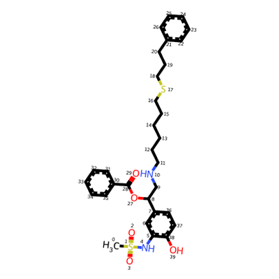 CS(=O)(=O)Nc1cc(C(CNCCCCCCSCCCc2ccccc2)OC(=O)c2ccccc2)ccc1O